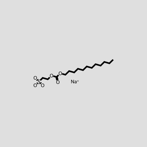 CCCCCCCCCCCCOC(=O)OCCS(=O)(=O)[O-].[Na+]